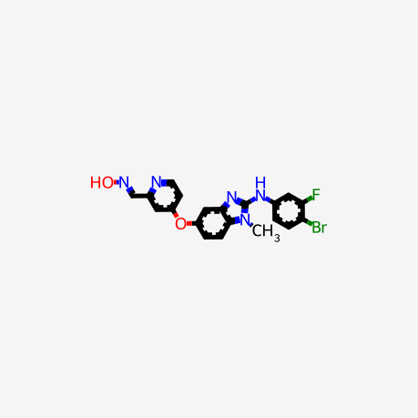 Cn1c(Nc2ccc(Br)c(F)c2)nc2cc(Oc3ccnc(C=NO)c3)ccc21